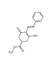 COC(=O)C1CC(=O)C(/N=N/c2ccccc2)=C(O)C1